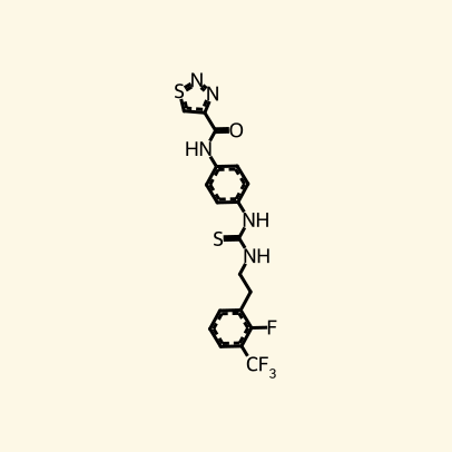 O=C(Nc1ccc(NC(=S)NCCc2cccc(C(F)(F)F)c2F)cc1)c1csnn1